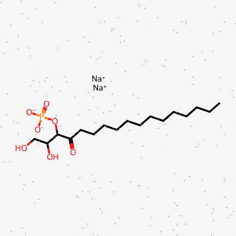 CCCCCCCCCCCCCC(=O)C(OP(=O)([O-])[O-])C(O)CO.[Na+].[Na+]